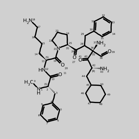 CN[C@@H](Cc1ccccc1)C(=O)N[C@@H](CCCCN)C(=O)N1CCC[C@H]1C(=O)C(Cc1ccccc1)[C@](N)([C]=O)C(=O)[C@H](N)CC1CCCCC1